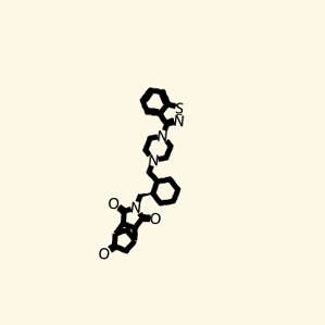 O=C1CC2CC1C1C(=O)N(C[C@@H]3CCCCC3CN3CCN(c4nsc5ccccc45)CC3)C(=O)C21